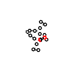 CC1(C)CC(C)(c2ccc(-c3ccc(N(c4ccc(-n5c6ccccc6c6ccccc65)cc4)c4ccc(-n5c6ccccc6c6ccccc65)cc4)cc3)cc2)c2cc(-c3ccc(N(c4ccc(-n5c6ccccc6c6ccccc65)cc4)c4ccc(-n5c6ccccc6c6ccccc65)cc4)cc3)ccc21